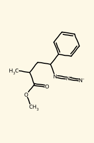 COC(=O)C(C)CC(N=[N+]=[N-])c1ccccc1